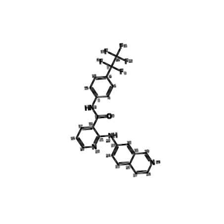 O=C(Nc1ccc(C(F)(F)C(F)(F)F)cc1)c1cccnc1Nc1ccc2ccncc2c1